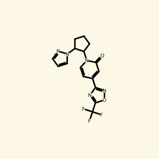 O=c1cc(-c2noc(C(F)(F)F)n2)ccn1C1CCCC1n1cccn1